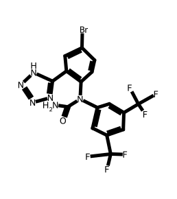 NC(=O)N(c1cc(C(F)(F)F)cc(C(F)(F)F)c1)c1ccc(Br)cc1-c1nnn[nH]1